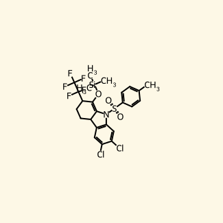 Cc1ccc(S(=O)(=O)N2C3=C(O[Si](C)(C)C)C(C(F)(F)C(F)(F)F)CCC3c3cc(Cl)c(Cl)cc32)cc1